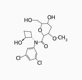 COC1CC(O)C(CO)OC1C(=O)N(c1cc(Cl)cc(Cl)c1)[C@H]1CC[C@@H]1O